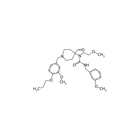 CCCOc1ccc(CN2CCC(C=O)(N(CCOC)C(=O)NCc3cccc(OC)c3)CC2)cc1OC